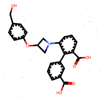 O=C(O)c1cccc(-c2c(C(=O)O)cccc2N2CC(Oc3ccc(CO)cc3)C2)c1